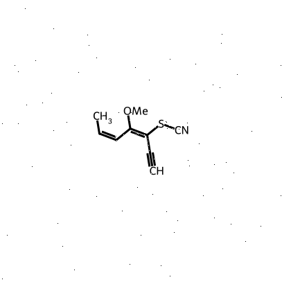 C#C/C(SC#N)=C(\C=C/C)OC